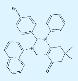 CC1(C)CC(=O)C2=C(C1)N(c1ccccc1)C(c1ccc(Br)cc1)N(c1cccc3ccccc13)C2